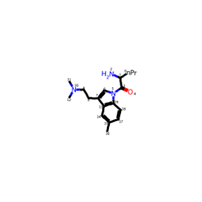 CCCC(N)C(=O)n1cc(CCN(C)C)c2cc(C)ccc21